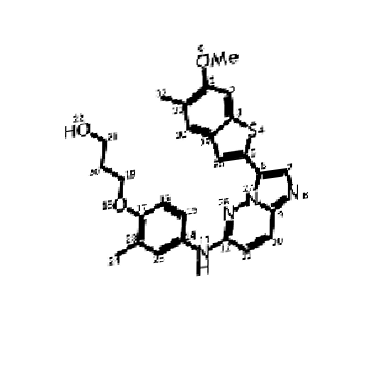 COc1cc2sc(-c3cnc4ccc(Nc5ccc(OCCCO)c(C)c5)nn34)cc2cc1C